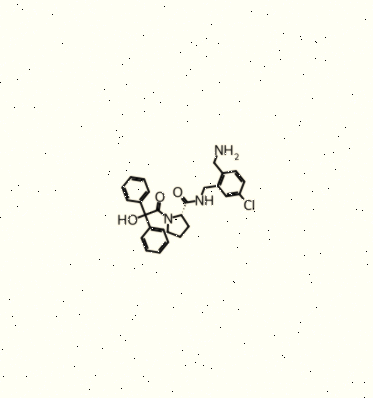 NCc1ccc(Cl)cc1CNC(=O)[C@@H]1CCCN1C(=O)C(O)(c1ccccc1)c1ccccc1